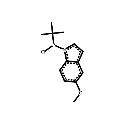 COc1ccc2c(ccn2P(Cl)C(C)(C)C)c1